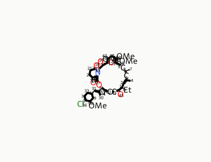 CC[C@@H]1/C=C(\C)C[C@H](C)C[C@H](OC)[C@H]2O[C@@](OC)(C(=O)C(=O)N3CCCC[C@H]3C(=O)O[C@H](/C(C)=C/[C@@H]3CC[C@@H](Cl)[C@H](OC)C3)[C@H](C)CCC1=O)[C@H](C)C[C@@H]2OC